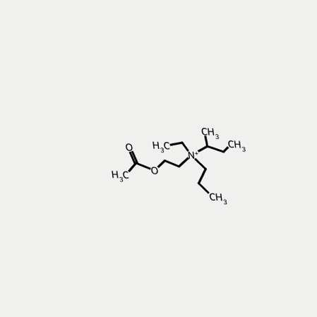 CCC[N+](CC)(CCOC(C)=O)C(C)CC